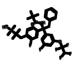 CC(C)(C)[S@@+]([O-])NC(Cc1ccccc1)(c1cc(F)cc(OC(F)(F)C(F)F)c1)c1ccc(CC(C)(C)[Si](C)(C)O)c(F)c1